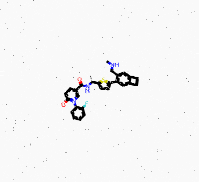 CNCc1cc2c(cc1-c1ccc([C@@H](C)NC(=O)c3ccc(=O)n(-c4ccccc4F)c3)s1)CC2